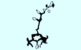 COP(C)(=O)OCC(=O)CC(=O)CCc1cc(C(C)(C)C)c(O)c(C(C)(C)C)c1